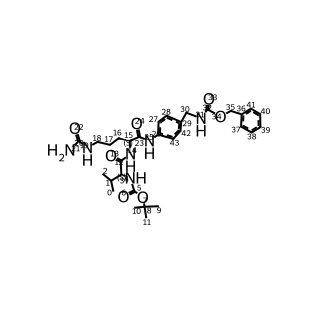 CC(C)[C@H](NC(=O)OC(C)(C)C)C(=O)N[C@@H](CCCNC(N)=O)C(=O)Nc1ccc(CNC(=O)OCc2ccccc2)cc1